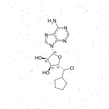 Nc1ncnc2c1ncn2[C@@H]1O[C@H](C(Cl)C2CCCC2)[C@@H](O)[C@H]1O